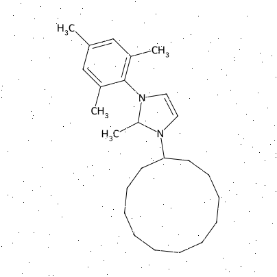 Cc1cc(C)c(N2C=CN(C3CCCCCCCCCCC3)C2C)c(C)c1